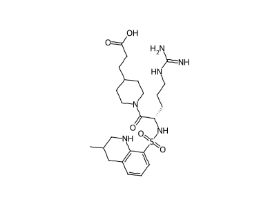 CC1CNc2c(cccc2S(=O)(=O)N[C@@H](CCCNC(=N)N)C(=O)N2CCC(CCC(=O)O)CC2)C1